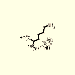 CCNC(CCCCN)C(=O)O.N=C=O.N=C=O